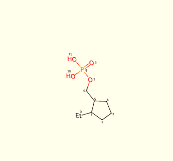 CCC1CCCC1COP(=O)(O)O